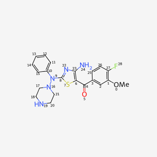 COc1cc(C(=O)c2sc(N(c3ccccc3)N3CCNCC3)nc2N)ccc1F